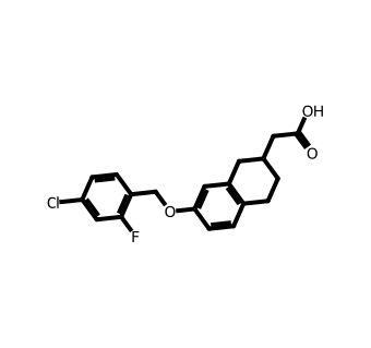 O=C(O)CC1CCc2ccc(OCc3ccc(Cl)cc3F)cc2C1